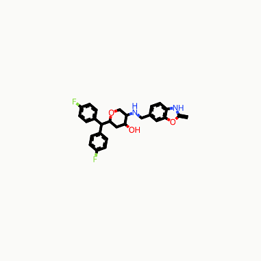 C=C1Nc2ccc(CNC3COC(C(c4ccc(F)cc4)c4ccc(F)cc4)CC3O)cc2O1